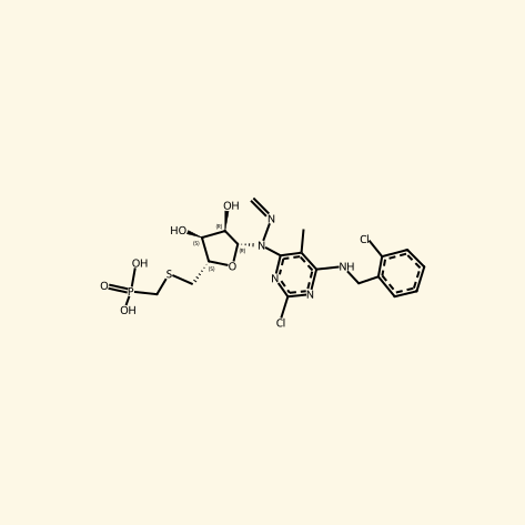 C=NN(c1nc(Cl)nc(NCc2ccccc2Cl)c1C)[C@@H]1O[C@H](CSCP(=O)(O)O)[C@@H](O)[C@H]1O